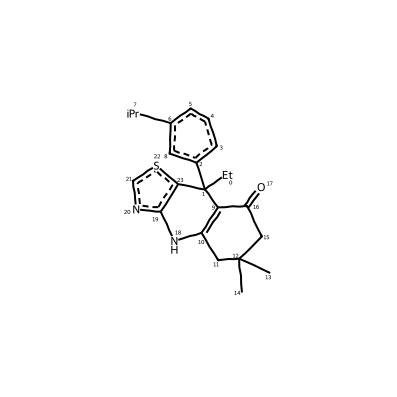 CCC1(c2cccc(C(C)C)c2)C2=C(CC(C)(C)CC2=O)Nc2ncsc21